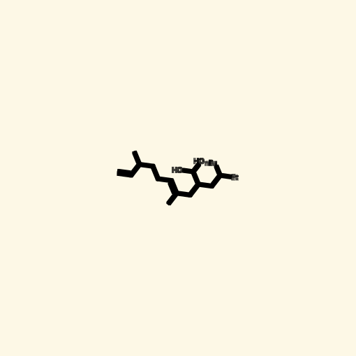 C=CC(C)CCC=C(C)CC(CC(CC)CCCC)C(O)O